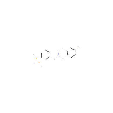 Nc1ccc2c(c1)CCN(Cc1cccc(S(N)(=O)=O)c1)C2